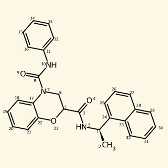 C[C@@H](NC(=O)C1CN(C(=O)Nc2ccccc2)c2ccccc2O1)c1cccc2ccccc12